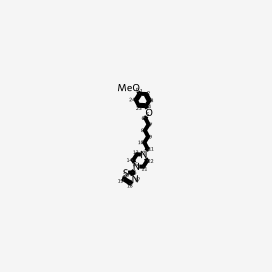 COc1ccc(OCCCCCCN2CCN(c3nccs3)CC2)cc1